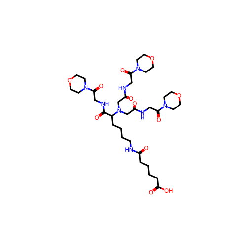 O=C(O)CCCCC(=O)NCCCCC(C(=O)NCC(=O)N1CCOCC1)N(CC(=O)NCC(=O)N1CCOCC1)CC(=O)NCC(=O)N1CCOCC1